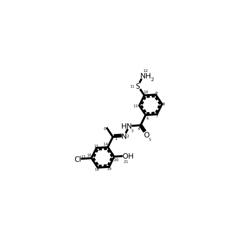 C/C(=N\NC(=O)c1cccc(SN)c1)c1cc(Cl)ccc1O